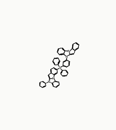 c1ccc(-n2c3ccccc3n3c4cc(S(c5ccccc5)(c5ccccc5)c5cccc(-n6c7ccccc7n7c8ccccc8cc67)c5)ccc4cc23)cc1